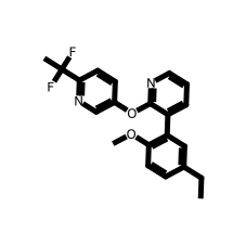 CCc1ccc(OC)c(-c2cccnc2Oc2ccc(C(C)(F)F)nc2)c1